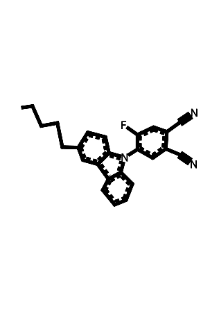 CCCCCc1ccc2c(c1)c1ccccc1n2-c1cc(C#N)c(C#N)cc1F